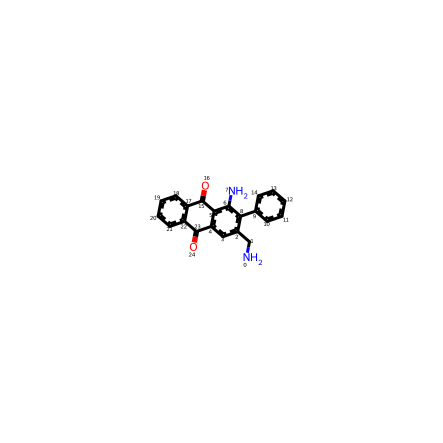 NCc1cc2c(c(N)c1-c1ccccc1)C(=O)c1ccccc1C2=O